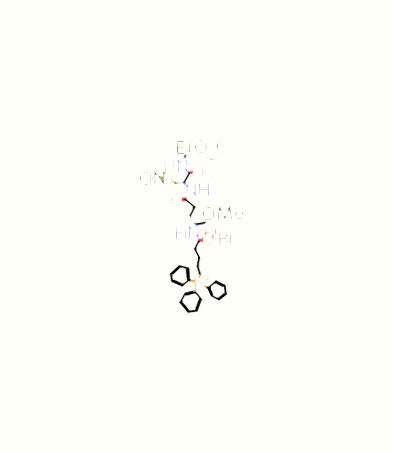 CCOC(=O)CNC(=O)[C@H](CSN=O)NC(=O)CC[C@H](NC(=O)CCCC[P+](c1ccccc1)(c1ccccc1)c1ccccc1)C(=O)OC.[Br-]